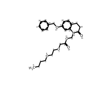 CCCCOCCOCC(=O)OCN1C(=O)CCc2ccc(OCc3ccccc3)cc21